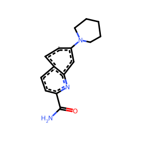 NC(=O)c1ccc2c[c]c(N3CCCCC3)cc2n1